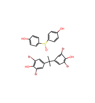 CC(C)(c1cc(Br)c(O)c(Br)c1)c1cc(Br)c(O)c(Br)c1.[O-][S+](c1ccc(O)cc1)c1ccc(O)cc1